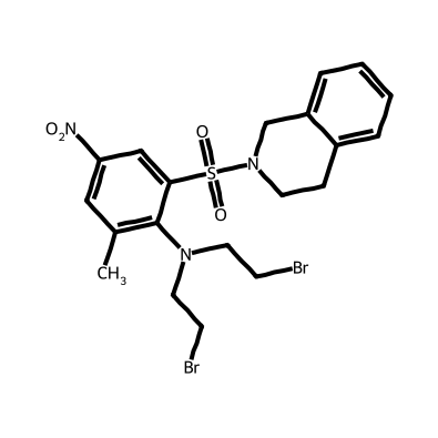 Cc1cc([N+](=O)[O-])cc(S(=O)(=O)N2CCc3ccccc3C2)c1N(CCBr)CCBr